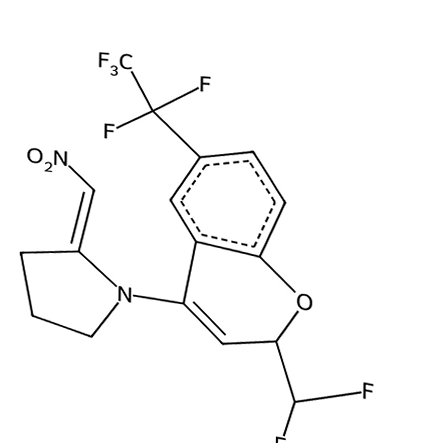 O=[N+]([O-])C=C1CCCN1C1=CC(C(F)F)Oc2ccc(C(F)(F)C(F)(F)F)cc21